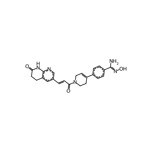 N/C(=N\O)c1ccc(C2=CCN(C(=O)/C=C/c3cnc4c(c3)CCC(=O)N4)CC2)cc1